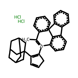 C/[C](c1ccccc1)=[Zr](\[C]1=C(C23CC4CC(CC(C4)C2)C3)C=CC1)[c]1cccc2c1Cc1ccccc1-2.Cl.Cl